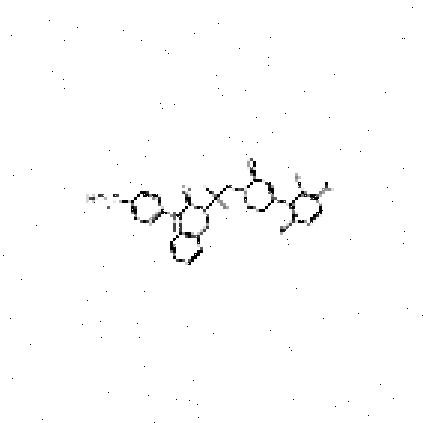 CC(C)(CN1CCC(c2c(F)ccc(Cl)c2F)=CC1=O)C(Cc1ccccc1)C(=O)Nc1ccc(C(=O)O)cc1